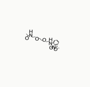 CC(=O)NCCOCCOCCNc1ccccc1[N+](=O)[O-]